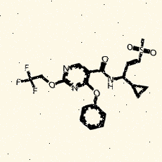 CS(=O)(=O)C=CC(NC(=O)c1cnc(OCC(F)(F)F)nc1Oc1ccccc1)C1CC1